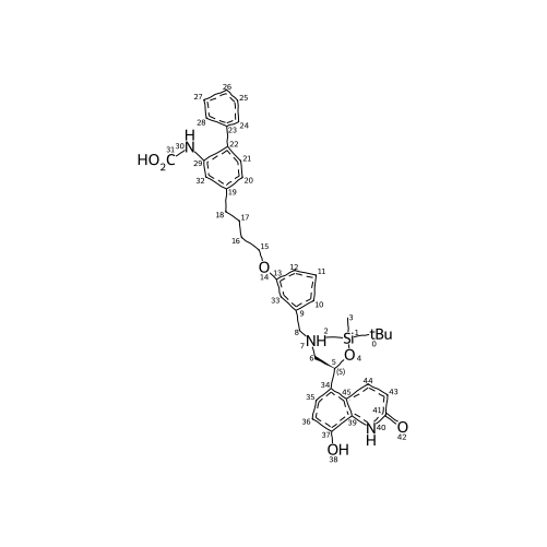 CC(C)(C)[Si](C)(C)O[C@H](CNCc1cccc(OCCCCc2ccc(-c3ccccc3)c(NC(=O)O)c2)c1)c1ccc(O)c2[nH]c(=O)ccc12